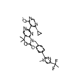 COc1ncnc(C2CC2)c1-c1ncc2c(n1)N(Cc1ccc(-c3nc(C(C)(F)F)cn3C)cc1)C(=O)OC2(C)C